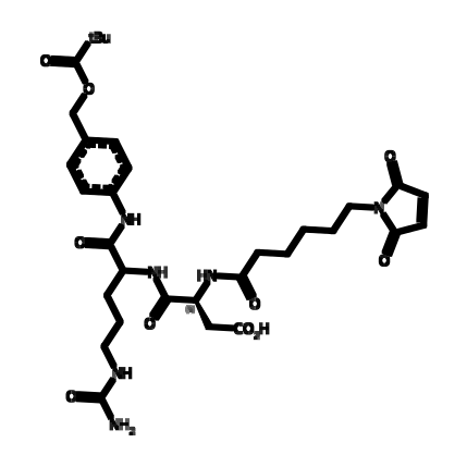 CC(C)(C)C(=O)OCc1ccc(NC(=O)C(CCCNC(N)=O)NC(=O)[C@H](CC(=O)O)NC(=O)CCCCCN2C(=O)C=CC2=O)cc1